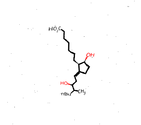 CCCCC(C)C(O)CC=C1CC[C@H](O)[C@@H]1CCCCCCC(=O)O